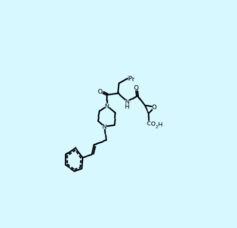 CC(C)CC(NC(=O)C1OC1C(=O)O)C(=O)N1CCN(C/C=C/c2ccccc2)CC1